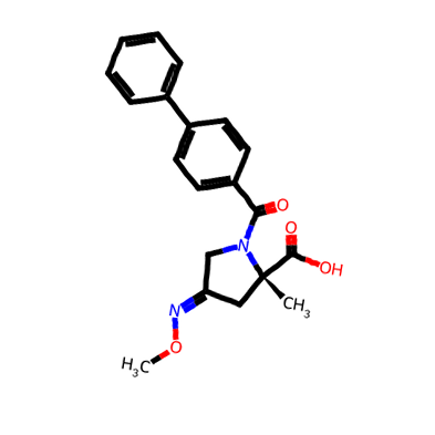 CON=C1CN(C(=O)c2ccc(-c3ccccc3)cc2)[C@](C)(C(=O)O)C1